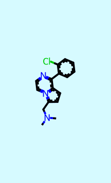 CN(C)Cc1ccc2c(-c3ccccc3Cl)nccn12